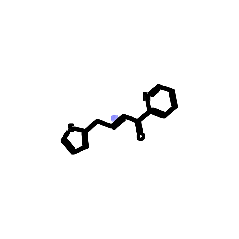 O=C(/C=C/Cc1cccs1)c1ccccn1